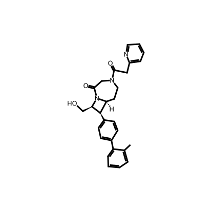 Cc1ccccc1-c1ccc([C@H]2[C@@H](CO)N3C(=O)CN(C(=O)Cc4ccccn4)CC[C@@H]23)cc1